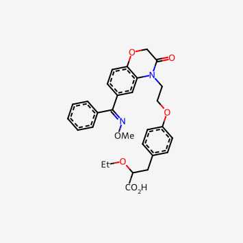 CCOC(Cc1ccc(OCCN2C(=O)COc3ccc(C(=NOC)c4ccccc4)cc32)cc1)C(=O)O